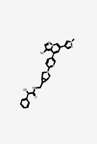 Cn1cc(-c2cc(-c3ccc(N4CC5C(CNC(=O)C(O)c6ccccc6)C5C4)nc3)c3c(C#N)cnn3c2)cn1